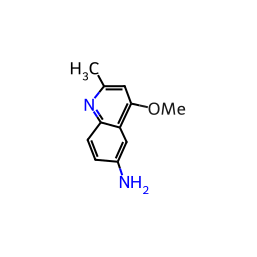 COc1cc(C)nc2ccc(N)cc12